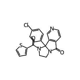 O=C(c1cccs1)N1CCN2C(=O)c3ccncc3C12c1ccc(Cl)cc1